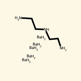 NCCNCCN.[BaH2].[BaH2].[BaH2].[BaH2].[BaH2]